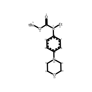 CCN(C(=O)OC(C)(C)C)c1ccc(N2CCOCC2)cc1